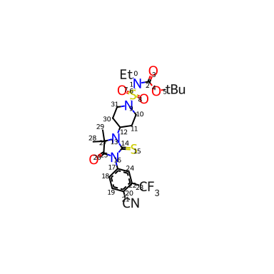 CCN(C(=O)OC(C)(C)C)S(=O)(=O)N1CCC(N2C(=S)N(c3ccc(C#N)c(C(F)(F)F)c3)C(=O)C2(C)C)CC1